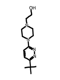 CC(C)(C)c1ccc(N2CCN(CCO)CC2)nn1